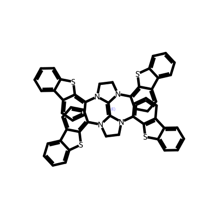 C1=C=C(N2CCN(c3cccc4c3sc3ccccc34)/C2=C2/N(C3=c4sc5ccccc5c4=CCC3)CCN2c2cccc3c2sc2ccccc23)c2sc3ccccc3c2C=1